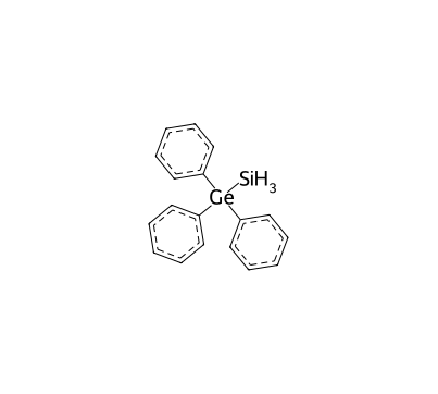 [SiH3][Ge]([c]1ccccc1)([c]1ccccc1)[c]1ccccc1